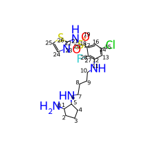 N[C@@H]1CCC[C@@H]1NCCCCNc1cc(Cl)cc(S(=O)(=O)Nc2nccs2)c1F